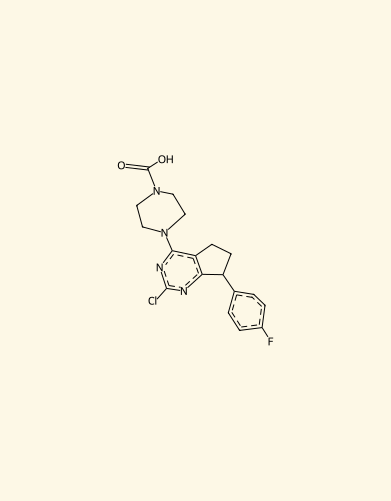 O=C(O)N1CCN(c2nc(Cl)nc3c2CCC3c2ccc(F)cc2)CC1